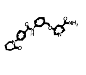 NC(=O)c1cncc(OCc2cccc(NC(=O)c3ccc(N4CCCCC4=O)cc3)c2)c1